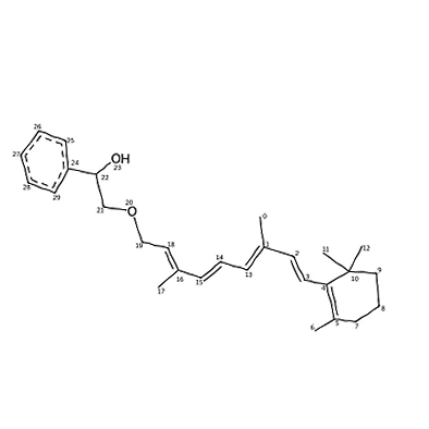 CC(C=CC1=C(C)CCCC1(C)C)=CC=CC(C)=CCOCC(O)c1ccccc1